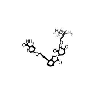 C[Si](C)(C)CCOCN1C(=O)CCC(N2Cc3c(C#CCOc4ccc(C(N)=O)nc4)cccc3C2=O)C1=O